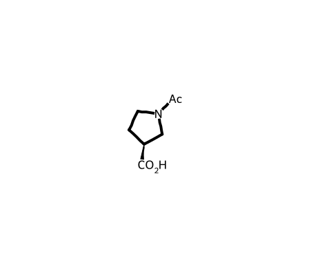 CC(=O)N1CC[C@H](C(=O)O)C1